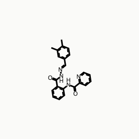 Cc1ccc(C=NNC(=O)c2ccccc2NC(=O)c2ccccn2)cc1C